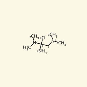 CN(C)CC([SiH3])(Cl)N(C)C